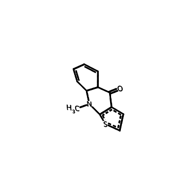 CN1c2sccc2C(=O)C2C=CC=CC21